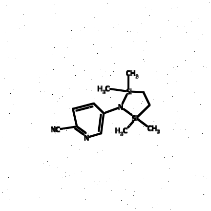 C[Si]1(C)CC[Si](C)(C)N1c1ccc(C#N)nc1